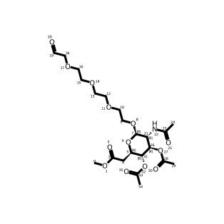 COC(=O)C[C@H]1O[C@@H](OCCOCCOCCOCC=O)[C@H](NC(C)=O)[C@@H](OC(C)=O)[C@@H]1OC(C)=O